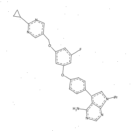 CC(C)n1cc(-c2ccc(Oc3cc(F)cc(OCc4cnc(C5CC5)nc4)c3)cc2)c2c(N)ncnc21